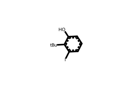 CC(C)(C)c1c(O)cccc1I